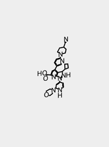 N#CC1CCN(c2ccc(-c3cc(C(=O)O)nc4c3C(C3CCC3)NN4C3=CC(N4CCOCC4)NC=C3)cn2)CC1